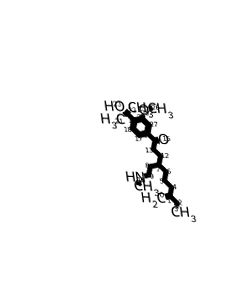 C=C(CC)CCCC(CCNC)CCC(=O)c1ccc(C(C)(C)O)c(OC)c1